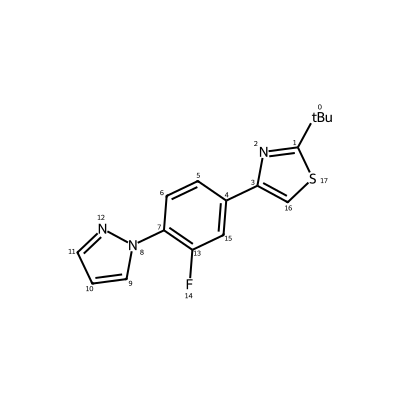 CC(C)(C)c1nc(-c2ccc(-n3cccn3)c(F)c2)cs1